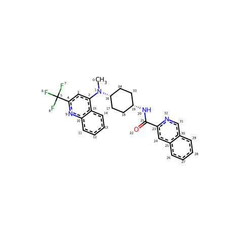 CN(c1cc(C(F)(F)F)nc2ccccc12)[C@H]1CC[C@@H](NC(=O)c2cc3ccccc3cn2)CC1